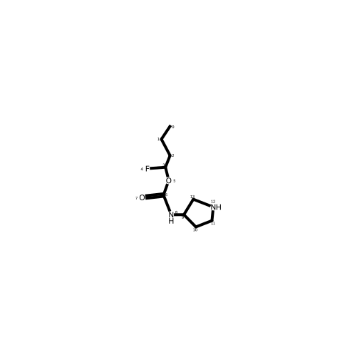 CCCC(F)OC(=O)NC1CCNC1